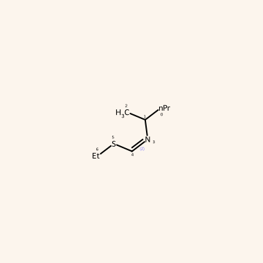 CCCC(C)/N=C\SCC